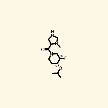 CC(C)O[C@H]1CCN(C(=O)C2CNCN2C)C[C@H]1F